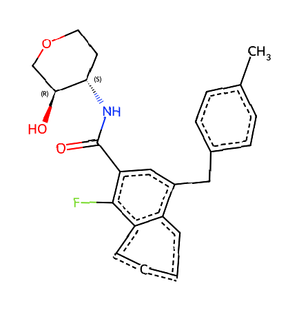 Cc1ccc(Cc2cc(C(=O)N[C@H]3CCOC[C@@H]3O)c(F)c3ccccc23)cc1